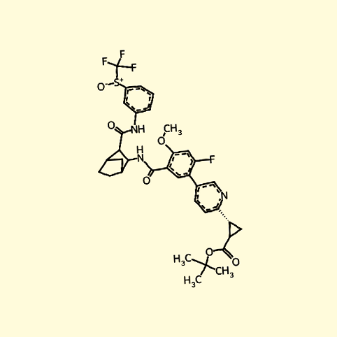 COc1cc(F)c(-c2ccc([C@@H]3CC3C(=O)OC(C)(C)C)nc2)cc1C(=O)NC1C2CCC(C2)C1C(=O)Nc1cccc([S+]([O-])C(F)(F)F)c1